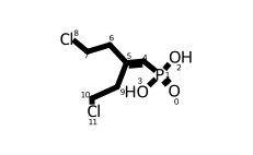 O=P(O)(O)C=C(CCCl)CCCl